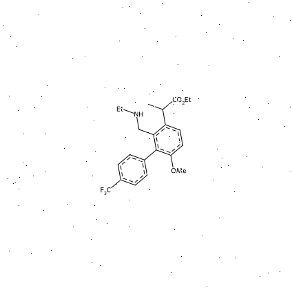 CCNCc1c(C(C)C(=O)OCC)ccc(OC)c1-c1ccc(C(F)(F)F)cc1